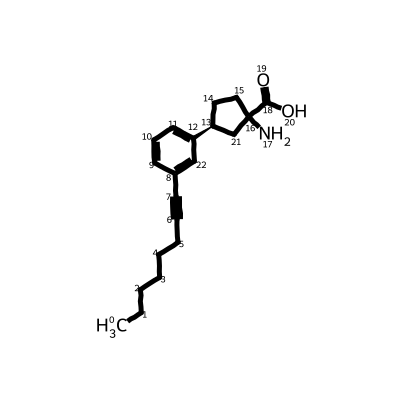 CCCCCCC#Cc1cccc([C@H]2CCC(N)(C(=O)O)C2)c1